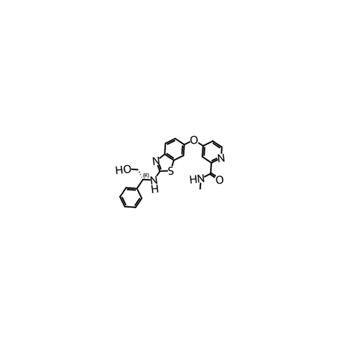 CNC(=O)c1cc(Oc2ccc3nc(N[C@@H](CO)c4ccccc4)sc3c2)ccn1